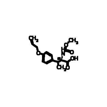 C=CCOc1ccc(C(C)[C@H](NC(=O)OC)C(=O)O)cc1